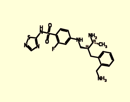 C[C@@H](N)[C@H](CNc1ccc(S(=O)(=O)Nc2ncns2)c(F)c1)Cc1ccccc1CN